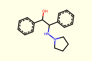 OC(c1ccccc1)C(NN1CCCC1)c1ccccc1